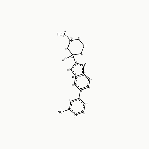 N#Cc1cc(-c2ccc3oc(C4(F)CCCN(C(=O)O)C4)nc3c2)ccn1